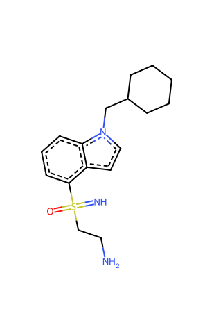 N=S(=O)(CCN)c1cccc2c1ccn2CC1CCCCC1